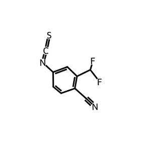 N#Cc1ccc(N=C=S)cc1C(F)F